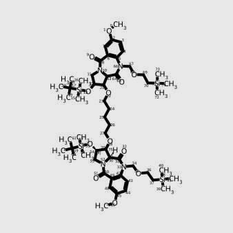 COc1ccc2c(c1)C(=O)N1CC(O[Si](C)(C)C(C)(C)C)C(OCCCCCOC3[C@H]4C(=O)N(COCC[Si](C)(C)C)c5ccc(OC)cc5C(=O)N4C[C@H]3O[Si](C)(C)C(C)(C)C)C1C(=O)N2COCC[Si](C)(C)C